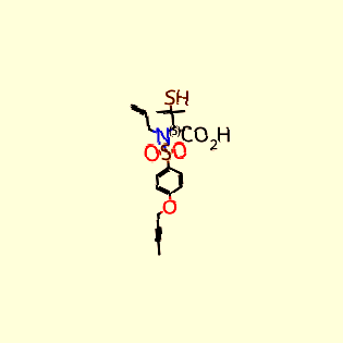 C=CCN([C@@H](C(=O)O)C(C)(C)S)S(=O)(=O)c1ccc(OCC#CC)cc1